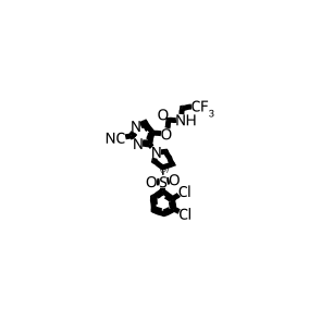 N#Cc1ncc(OC(=O)NCC(F)(F)F)c(N2CC[C@H](S(=O)(=O)c3cccc(Cl)c3Cl)C2)n1